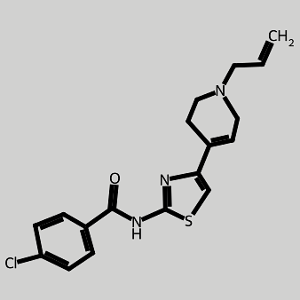 C=CCN1CC=C(c2csc(NC(=O)c3ccc(Cl)cc3)n2)CC1